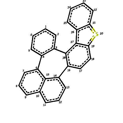 c1ccc2c(c1)-c1cccc3cccc(c13)-c1ccc3sc4ccccc4c3c1-2